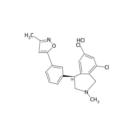 Cc1cc(-c2cccc([C@@H]3CN(C)Cc4c(Cl)cc(Cl)cc43)c2)on1.Cl